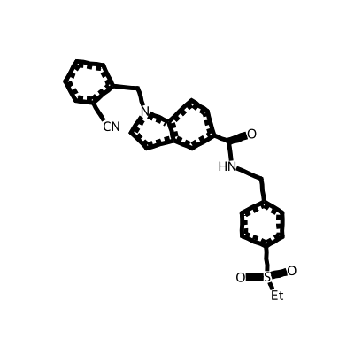 CCS(=O)(=O)c1ccc(CNC(=O)c2ccc3c(ccn3Cc3ccccc3C#N)c2)cc1